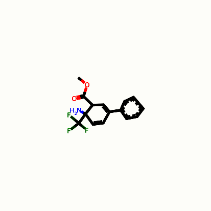 COC(=O)C1C=C(c2ccccc2)C=CC1(N)C(F)(F)F